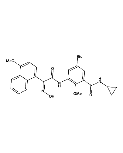 COc1c(NC(=O)C(=NO)c2ccc(OC)c3ccccc23)cc(C(C)(C)C)cc1C(=O)NC1CC1